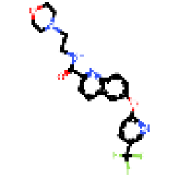 O=C(NCCN1CCOCC1)c1ccc2cc(Oc3ccc(C(F)(F)F)cn3)ccc2n1